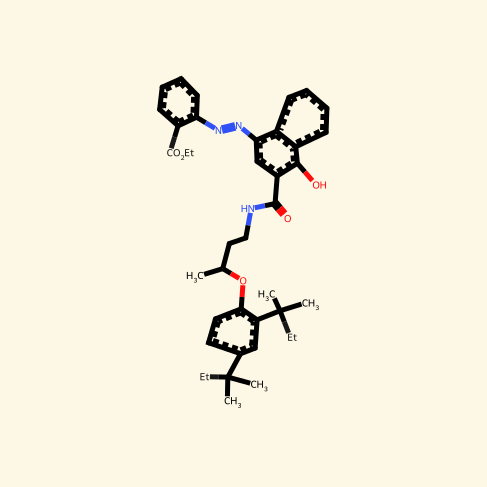 CCOC(=O)c1ccccc1N=Nc1cc(C(=O)NCCC(C)Oc2ccc(C(C)(C)CC)cc2C(C)(C)CC)c(O)c2ccccc12